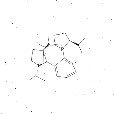 CC(C)[C@@H]1CC[P@@](C(C)C)C1c1ccccc1P1[C@H](C(C)C)CC[C@H]1C(C)C